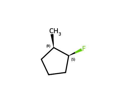 C[C@@H]1CCC[C@@H]1F